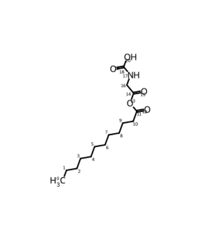 CCCCCCCCCCCC(=O)OC(=O)CNC(=O)O